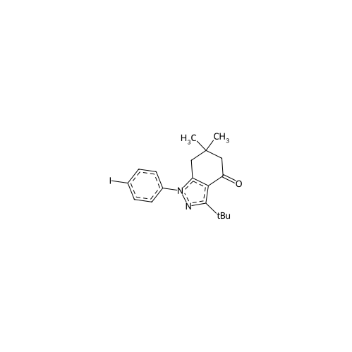 CC1(C)CC(=O)c2c(C(C)(C)C)nn(-c3ccc(I)cc3)c2C1